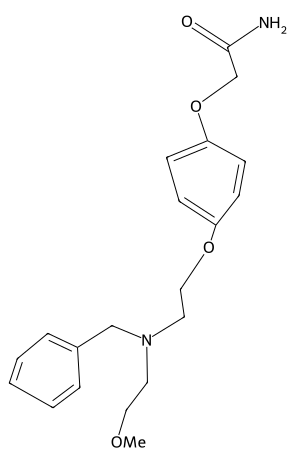 COCCN(CCOc1ccc(OCC(N)=O)cc1)Cc1ccccc1